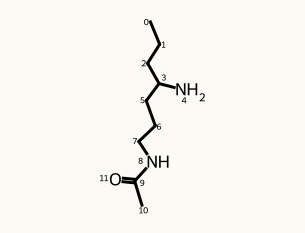 CCCC(N)CCCNC(C)=O